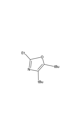 CCc1nc(C(C)(C)C)c(C(C)(C)C)o1